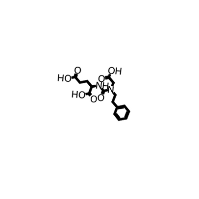 O=C(O)CCC(NC(=O)N(CCc1ccccc1)CC(=O)O)C(=O)O